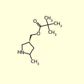 CC1C[C@H](COC(=O)C(C)(C)C)CN1